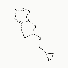 c1ccc2c(c1)CCC(OCC1CO1)S2